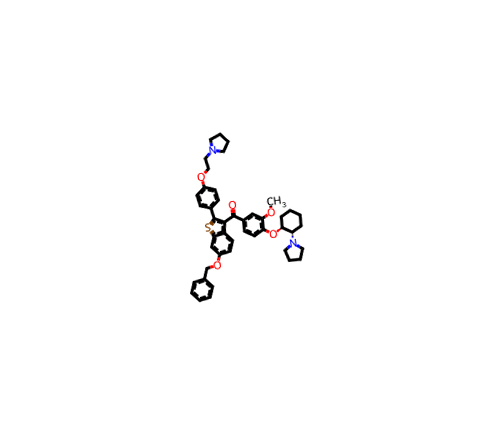 COc1cc(C(=O)c2c(-c3ccc(OCCN4CCCC4)cc3)sc3cc(OCc4ccccc4)ccc23)ccc1O[C@H]1CCCC[C@@H]1N1CCCC1